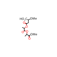 COC(=O)C(C)OC(=O)C(C)OC(=O)CC(OC)C(=O)O